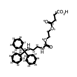 O=C(O)CCC(=O)OCCOC(=O)NCCNC(c1ccccc1)(c1ccccc1)c1ccccc1